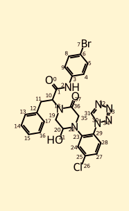 O=C(Nc1ccc(Br)cc1)C(Cc1ccccc1)N1CC(O)N(c2cc(Cl)ccc2-n2cnnn2)CC1=O